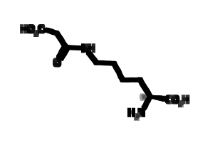 N[C@@H](CCCCNC(=O)CC(=O)O)C(=O)O